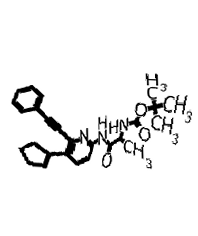 CC(NC(=O)OC(C)(C)C)C(=O)Nc1ccc(C2CCCC2)c(C#Cc2ccccc2)n1